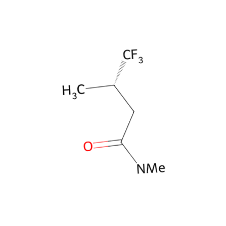 [CH2]NC(=O)C[C@H](C)C(F)(F)F